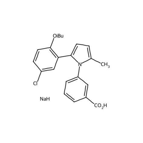 Cc1ccc(-c2cc(Cl)ccc2OCC(C)C)n1-c1cccc(C(=O)O)c1.[NaH]